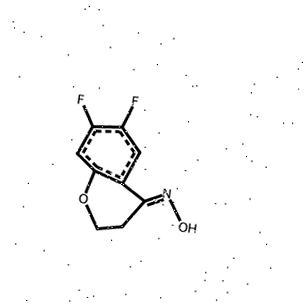 ON=C1CCOc2cc(F)c(F)cc21